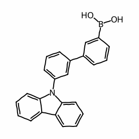 OB(O)c1cccc(-c2cccc(-n3c4ccccc4c4ccccc43)c2)c1